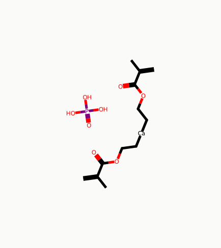 C=C(C)C(=O)OC[CH2][Ca][CH2]COC(=O)C(=C)C.O=P(O)(O)O